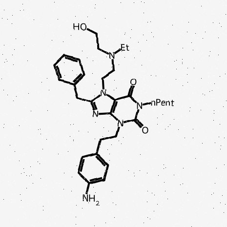 CCCCCn1c(=O)c2c(nc(Cc3ccccc3)n2CCN(CC)CCO)n(CCc2ccc(N)cc2)c1=O